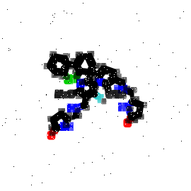 COc1nc(C2(c3cc(F)c(CNC[C@H]4CCC(=O)N4)c(OC)n3)C=CC=C(c3ccccc3Cl)C2Cl)ccc1CNC[C@@H]1CCC(=O)N1